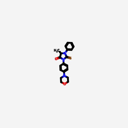 CC1C(=O)N(c2ccc(N3CCOCC3)cc2)C(=S)N1c1ccccc1